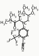 COC(CN(c1ccc(C#N)c(C(F)(F)F)c1)C(C)C(=O)N(C)C)OC